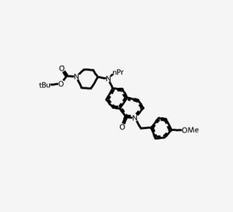 CCCN(c1ccc2c(=O)n(Cc3ccc(OC)cc3)ccc2c1)C1CCN(C(=O)OC(C)(C)C)CC1